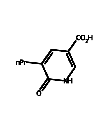 CCCc1cc(C(=O)O)c[nH]c1=O